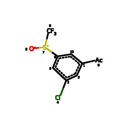 CC(=O)c1cc(Cl)cc([S+]([O-])C(F)(F)F)c1